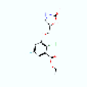 CCOC(=O)c1cc(F)cc(OCC2CNC(=O)O2)c1Cl